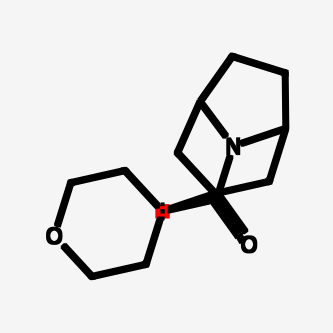 CC1(I)CC2CCC(C1)N2C(=O)C1CCOCC1